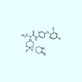 CC(C(=O)Nc1ccc(Oc2ncc(F)cc2F)cn1)N1CCC(F)(F)[C@@H](C2CCC(=O)NC2)C1